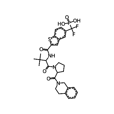 CC(C)(C)C(NC(=O)c1cc2cc(C(F)(F)P(=O)(O)O)ccc2s1)C(=O)N1CCCC1C(=O)N1CCc2ccccc2C1